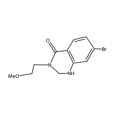 COCCN1CNc2cc(Br)ccc2C1=O